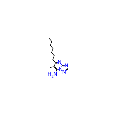 CCCCCCCc1nc2ncnn2c(N)c1C